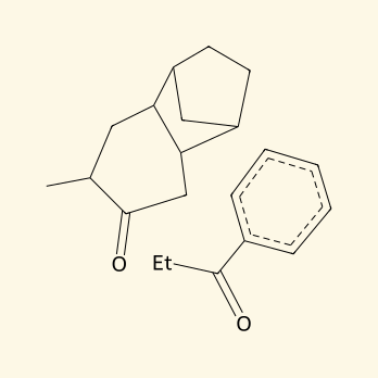 CC1CC2C3CCC(C3)C2CC1=O.CCC(=O)c1ccccc1